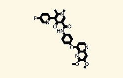 COc1cc2nccc(Oc3ccc(NC(=O)c4cn(C)c(C)c(-c5ccc(F)cn5)c4=O)cc3)c2nc1OC